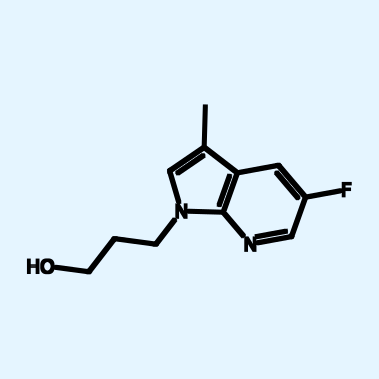 Cc1cn(CCCO)c2ncc(F)cc12